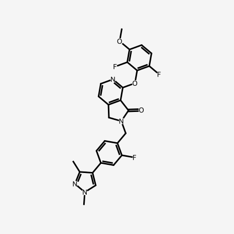 COc1ccc(F)c(Oc2nccc3c2C(=O)N(Cc2ccc(-c4cn(C)nc4C)cc2F)C3)c1F